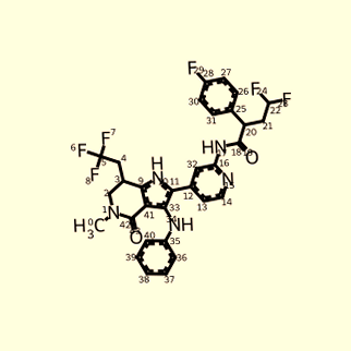 CN1CC(CC(F)(F)F)c2[nH]c(-c3ccnc(NC(=O)C(CC(F)F)c4ccc(F)cc4)c3)c(Nc3ccccc3)c2C1=O